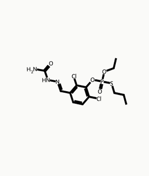 CCCSP(=O)(OCC)Oc1c(Cl)ccc(C=NNC(N)=O)c1Cl